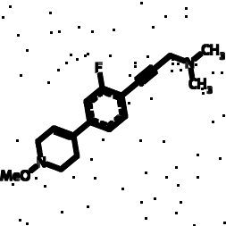 CON1CC=C(c2ccc(C#CCN(C)C)c(F)c2)CC1